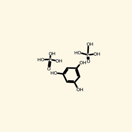 O=P(O)(O)O.O=P(O)(O)O.Oc1cc(O)cc(O)c1